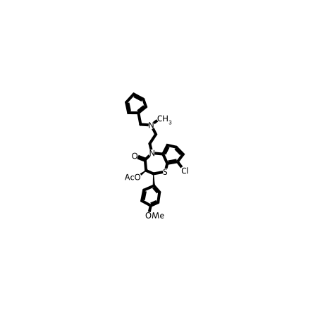 COc1ccc([C@@H]2Sc3c(Cl)cccc3N(CCN(C)Cc3ccccc3)C(=O)[C@@H]2OC(C)=O)cc1